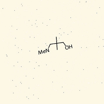 CNCC(C)(C)CO